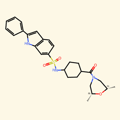 C[C@@H]1CN(C(=O)C2CCC(NS(=O)(=O)c3ccc4cc(-c5ccccc5)[nH]c4c3)CC2)C[C@H](C)O1